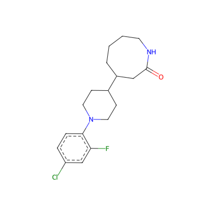 O=C1CC(C2CCN(c3ccc(Cl)cc3F)CC2)CCCCN1